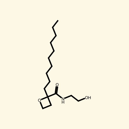 CCCCCCCCCCC1(C(=O)NCCO)CCO1